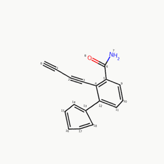 C#CC#Cc1c(C(N)=O)cccc1-c1ccccc1